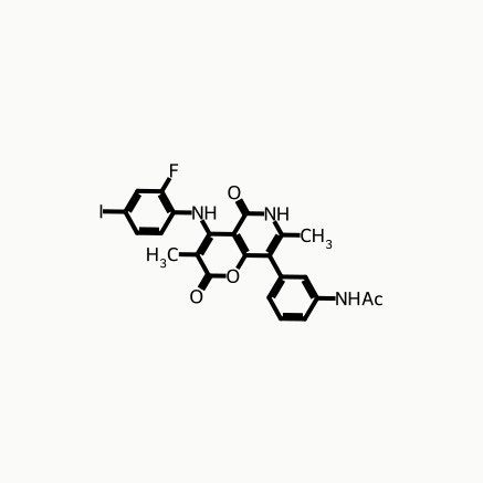 CC(=O)Nc1cccc(-c2c(C)[nH]c(=O)c3c(Nc4ccc(I)cc4F)c(C)c(=O)oc23)c1